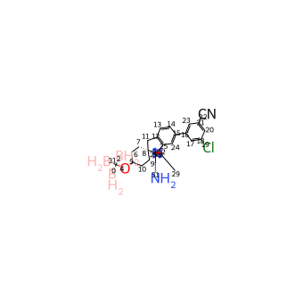 BC(B)(B)O[C@H]1CC[C@]2(CC1)Cc1ccc(-c3cc(Cl)cc(C#N)c3)cc1C21N=C(C)C(N)=N1